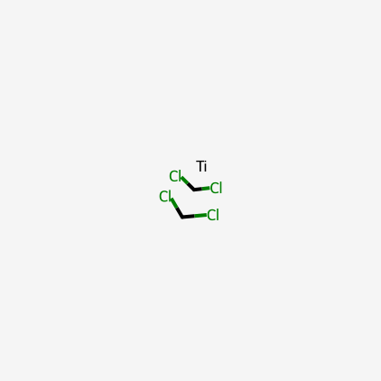 ClCCl.ClCCl.[Ti]